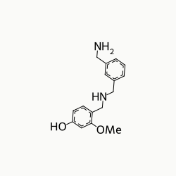 COc1cc(O)ccc1CNCc1cccc(CN)c1